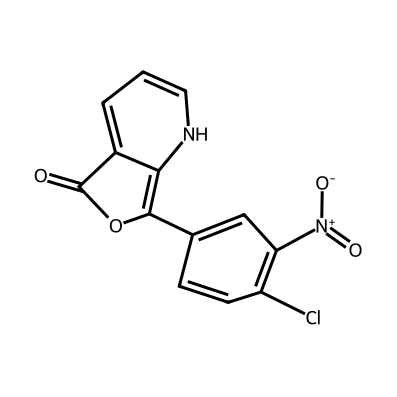 O=c1oc(-c2ccc(Cl)c([N+](=O)[O-])c2)c2[nH]cccc1-2